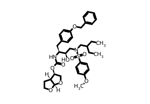 CCC(CC)CN(C[C@@H](O)[C@H](Cc1ccc(OCc2ccccc2)cc1)NC(=O)O[C@H]1CO[C@H]2OCC[C@H]21)S(=O)(=O)c1ccc(OC)cc1